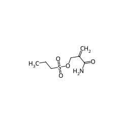 C=C(COS(=O)(=O)CCC)C(N)=O